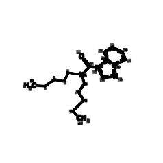 CCCCCN(CCCCC)C(=O)n1cnc2ccccc21